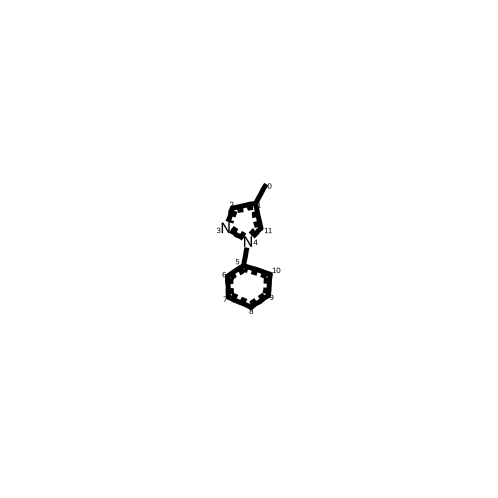 Cc1cnn(-c2ccccc2)c1